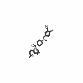 Cc1ccc2c(n1)C(C)(C)CN2C(=O)[C@H]1CC[C@H](N(C)Cc2ccc(F)c(C#N)c2)CC1